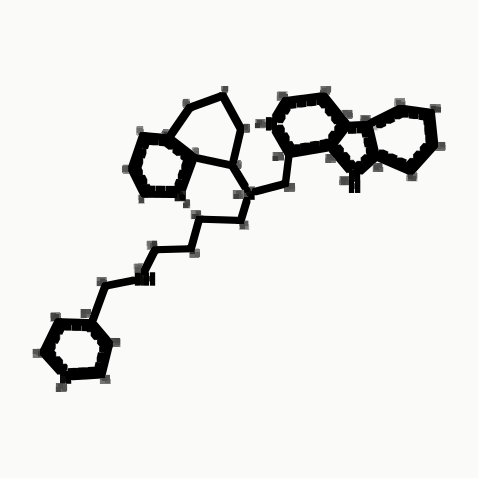 c1cnc2c(c1)CCCC2N(CCCCNCc1ccncc1)Cc1nccc2c1[nH]c1ccccc12